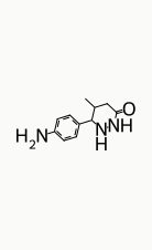 CC1CC(=O)NNC1c1ccc(N)cc1